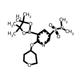 CN(C)S(=O)(=O)c1cnc(OC2CCOCC2)c(B2OC(C)(C)C(C)(C)O2)c1